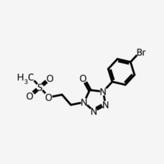 CS(=O)(=O)OCCn1nnn(-c2ccc(Br)cc2)c1=O